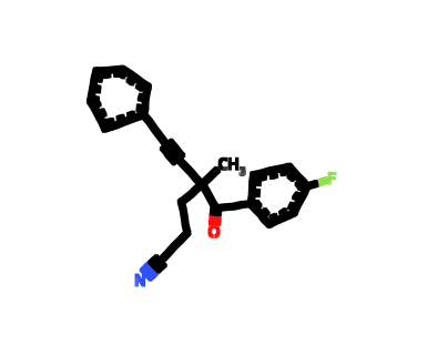 CC(C#Cc1ccccc1)(CCC#N)C(=O)c1ccc(F)cc1